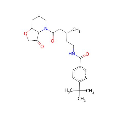 CC(CCNC(=O)c1ccc(C(C)(C)C)cc1)CC(=O)N1CCCC2OCC(=O)C21